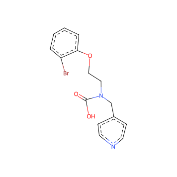 O=C(O)N(CCOc1ccccc1Br)Cc1ccncc1